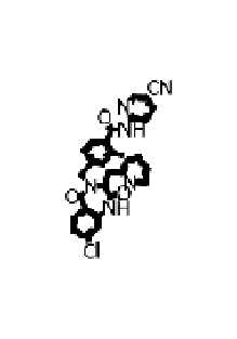 Cc1cc(CN2C(=O)c3ccc(Cl)cc3NC(=O)C2Cc2ccccn2)ccc1C(=O)Nc1ccc(C#N)cn1